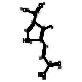 Cc1c([N+](=O)[O-])c[nH]c1C=CC(=O)O